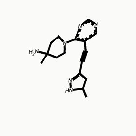 CC1CC(C#Cc2cncnc2N2CCC(C)(N)CC2)=NN1